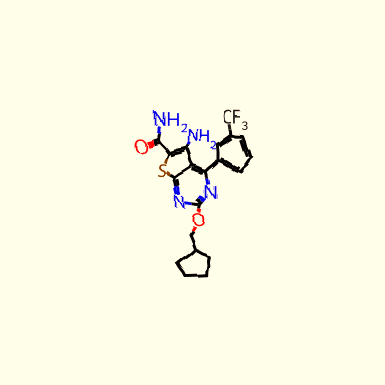 NC(=O)c1sc2nc(OCC3CCCC3)nc(-c3cccc(C(F)(F)F)c3)c2c1N